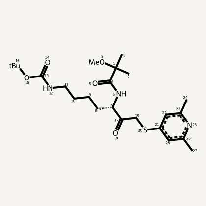 COC(C)(C)C(=O)N[C@@H](CCCCNC(=O)OC(C)(C)C)C(=O)CSc1cc(C)nc(C)c1